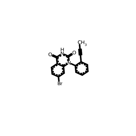 CC#Cc1ccccc1-n1c(=O)[nH]c(=O)c2ccc(Br)cc21